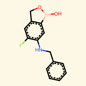 OB1OCc2cc(F)c(NCc3ccccc3)cc21